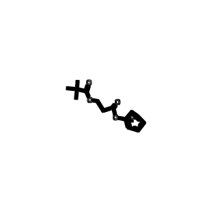 CC(C)(C)C(=O)OCCC(=O)Oc1cc2ccc1o2